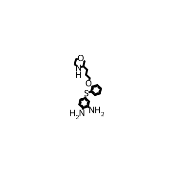 Nc1ccc(Sc2ccccc2OCCCC2COCCN2)cc1N